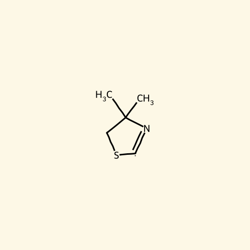 CC1(C)CS[C]=N1